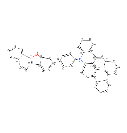 c1ccc(-c2ccc(N(c3ccc(-c4ccc5c(c4)oc4c6ccccc6ccc54)cc3)c3ccccc3-c3ccc4ccccc4c3)cc2)cc1